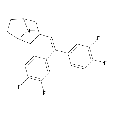 CN1C2CCC1CC(C=C(c1ccc(F)c(F)c1)c1ccc(F)c(F)c1)C2